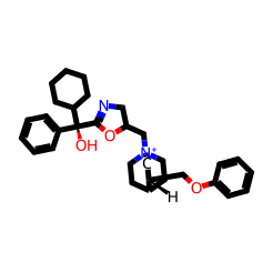 O[C@@](C1=NCC(C[N+]23CCC(CC2)[C@@H](COc2ccccc2)C3)O1)(c1ccccc1)C1CCCCC1